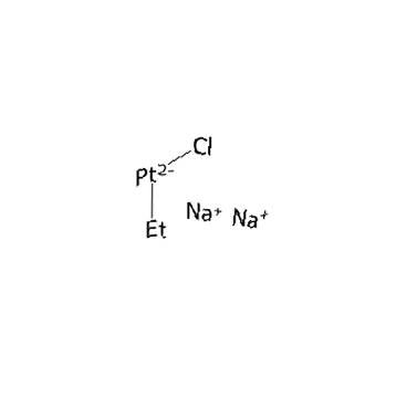 C[CH2][Pt-2][Cl].[Na+].[Na+]